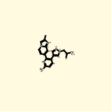 Cc1cn2ccc(-c3nc(C#N)ccc3-c3cnn(CC(C)C(F)(F)F)c3)cc2n1